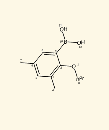 CCCOc1c(C)cc(C)cc1B(O)O